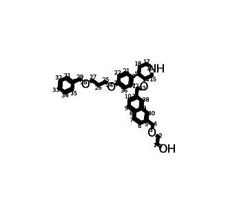 OCCOCc1ccc2ccc(CO[C@H]3CNCC[C@@H]3c3ccc(OCCCOCc4ccccc4)cc3)cc2c1